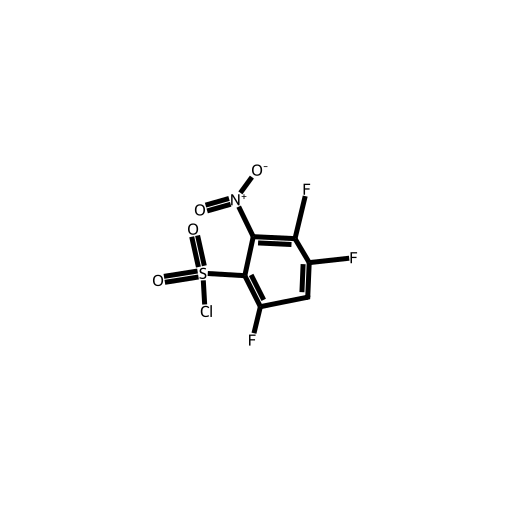 O=[N+]([O-])c1c(F)c(F)cc(F)c1S(=O)(=O)Cl